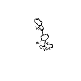 CC(=O)C1CN(c2cc3ccccc3[nH]2)CCC1N1CCNC1=O